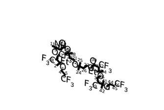 CCC(C)(OCCC(F)(F)F)C(COC(C)(N)C(C(=O)OC(C)(C)CCOC(C)(C)CCOC(=O)C(C(F)(F)F)C(C)(CC)OCC(C(F)(F)F)C(C)(C)OCCC(F)(F)F)C(F)(F)F)C(F)(F)F